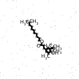 Cc1cc(CCC(=O)OCCCCCCCCCC(C)C)cc(C(C)(C)C)c1O